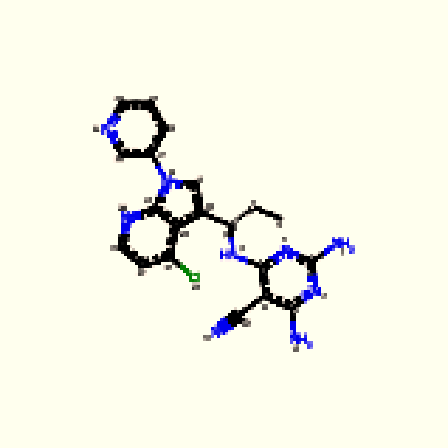 CC[C@H](Nc1nc(N)nc(N)c1C#N)c1cn(-c2cccnc2)c2nccc(Cl)c12